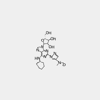 CN(C=O)c1cnn(-c2nc(NC3CCCCC3)c3ncn(C4O[C@H](CO)[C@@H](O)[C@H]4O)c3n2)c1